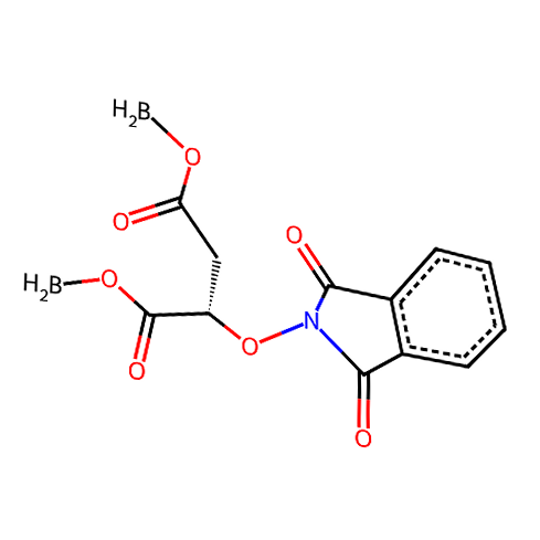 BOC(=O)C[C@H](ON1C(=O)c2ccccc2C1=O)C(=O)OB